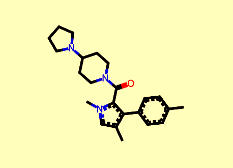 Cc1ccc(-c2c(C)cn(C)c2C(=O)N2CCC(N3CCCC3)CC2)cc1